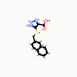 O=C(O)c1nn[nH]c1SCc1ccc2ccccc2c1